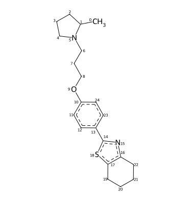 CC1CCCN1CCCOc1ccc(-c2nc3c(s2)CCCC3)cc1